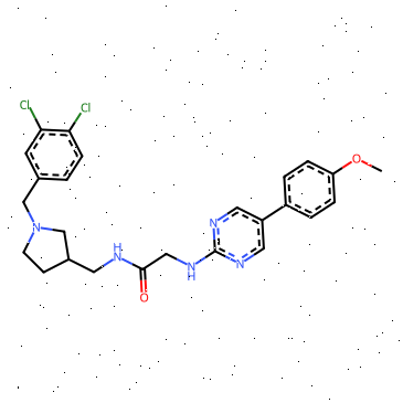 COc1ccc(-c2cnc(NCC(=O)NCC3CCN(Cc4ccc(Cl)c(Cl)c4)C3)nc2)cc1